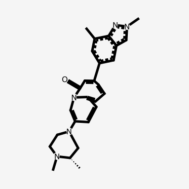 Cc1cc(C2=C\C(=O)N3C=C(N4CCN(C)[C@@H](C)C4)C=C\C3=C/C=C/2)cc2cn(C)nc12